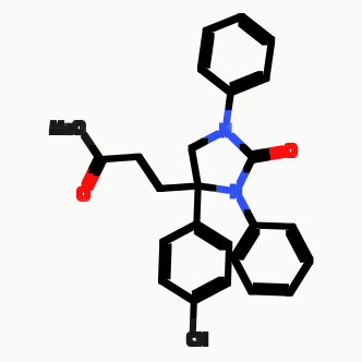 COC(=O)CCC1(c2ccc(C#N)cc2)CN(c2ccccc2)C(=O)N1c1ccccc1